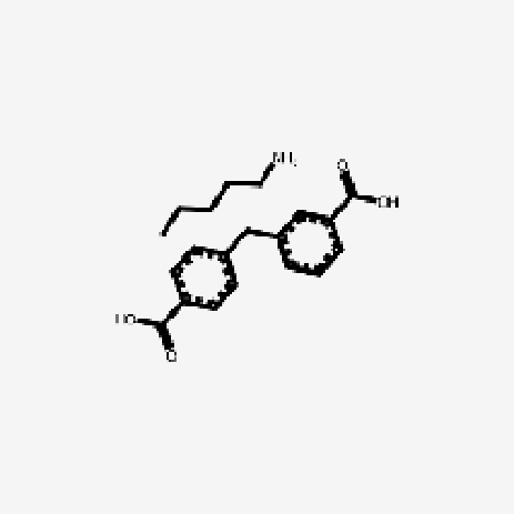 CCCCCN.O=C(O)c1ccc(Cc2cccc(C(=O)O)c2)cc1